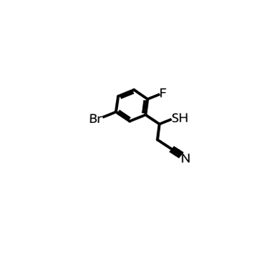 N#CCC(S)c1cc(Br)ccc1F